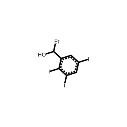 CCC(O)c1cc(I)cc(I)c1I